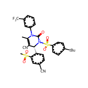 [C-]#[N+]C1=C(C)N(c2cccc(C(F)(F)F)c2)C(=O)N(S(=O)(=O)c2ccc(C(C)(C)C)cc2)[C@@H]1c1ccc(C#N)cc1S(C)(=O)=O